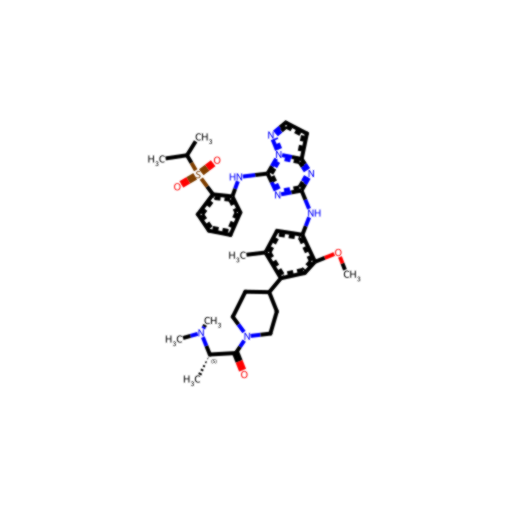 COc1cc(C2CCN(C(=O)[C@H](C)N(C)C)CC2)c(C)cc1Nc1nc(Nc2ccccc2S(=O)(=O)C(C)C)n2nccc2n1